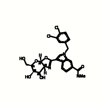 CNC(=O)c1ccc2c(C3=N[C@H]4[C@@H](O3)O[C@H](CO)[C@@H](O)[C@@H]4O)cn(Cc3ccc(Cl)c(Cl)c3)c2c1